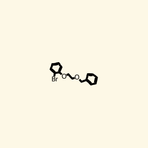 Brc1ccccc1OCCOCc1ccccc1